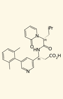 Cc1cccc(C)c1-c1cncc([C@@H](CC(=O)O)NC(=O)[C@@H](CC(C)C)n2ccccc2=O)c1